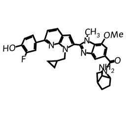 COc1cc(C(=O)N2CC3CCC2C3N)cc2nc(-c3cc4ccc(-c5ccc(O)c(F)c5)nc4n3CC3CC3)n(C)c12